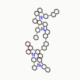 c1ccc(-c2cccc(N(c3ccc(-c4ccc5ccc(-c6ccc7c(ccc8c9ccccc9n(-c9cc(-c%10ccccc%10)ccc9-c9ccc(N(c%10ccccc%10-c%10ccccc%10)c%10ccc(-c%11ccc%12ccccc%12c%11)cc%10-c%10ccccc%10)cc9)c78)c6)cc5c4)cc3-c3ccccc3)c3ccc(-c4ccccc4-n4c5ccccc5c5cc6ccccc6cc54)cc3-c3ccccc3)c2)cc1